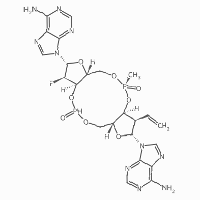 C=C[C@@H]1[C@@H]2O[P@@](C)(=O)OC[C@H]3O[C@@H](n4cnc5c(N)ncnc54)[C@H](F)[C@@H]3O[PH](=O)OC[C@H]2O[C@H]1n1cnc2c(N)ncnc21